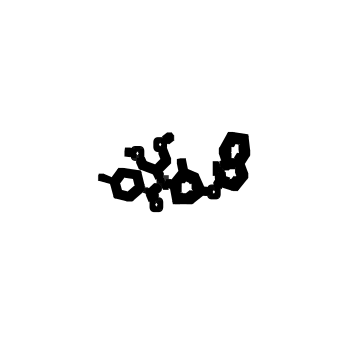 COCC(COC)N(c1ccc(Oc2ccc3ccccc3n2)cc1C)C(=O)[C@H]1CC[C@H](C)CC1